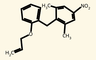 C=CCOc1ccccc1Cc1c(C)cc([N+](=O)[O-])cc1C